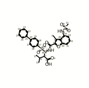 Cc1c(C(=O)NN(C(C(=O)O)C(C)C)S(=O)(=O)c2ccc(-c3ccccc3)cc2)oc2cccc(NS(C)(=O)=O)c12